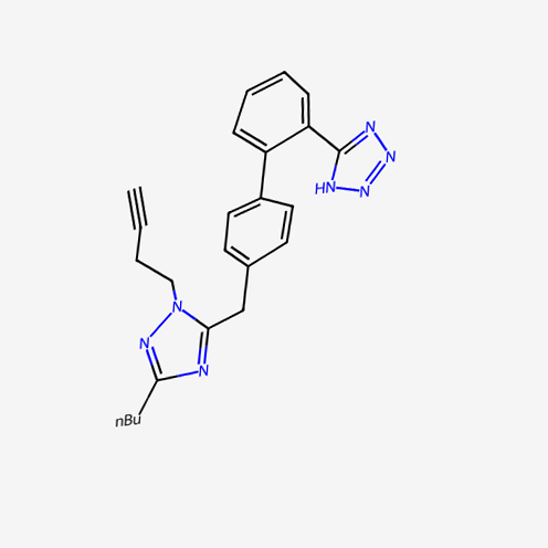 C#CCCn1nc(CCCC)nc1Cc1ccc(-c2ccccc2-c2nnn[nH]2)cc1